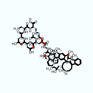 CC[C@](C)(O)C[C@H]1CNCCc2c([nH]c3ccccc23)[C@@](C(=O)OC)(c2cc3c(cc2OC)N(C)[C@H]2[C@@](O)(C(=O)NNC(=O)OCCSSC[C@H](NC(=O)[C@H](CN)NC(=O)[C@H](CC(=O)O)NC(=O)[C@H](CC(=O)O)NC(=O)[C@H](CC(=O)O)NC(C)=O)C(=O)O)[C@H](O)[C@]4(CC)C=CCN5CC[C@]32[C@@H]54)C1